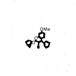 C#Cc1c(-c2ccccc2)c2ccc(OC)cc2oc1=O.c1cc2cc-2c1